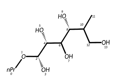 CCCO[C@@H](O)[C@H](O)C(O)[C@H](O)C(C)CO